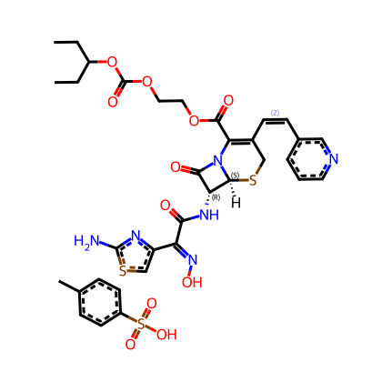 CCC(CC)OC(=O)OCCOC(=O)C1=C(/C=C\c2cccnc2)CS[C@H]2[C@H](NC(=O)C(=NO)c3csc(N)n3)C(=O)N12.Cc1ccc(S(=O)(=O)O)cc1